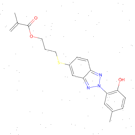 C=C(C)C(=O)OCCCSc1ccc2nn(-c3cc(C)ccc3O)nc2c1